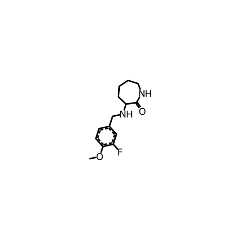 COc1ccc(CNC2CCCCNC2=O)cc1F